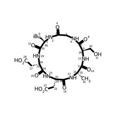 CCC(C)[C@H]1NC(=O)CNC(=O)[C@@H](CO)NC(=O)[C@H](C)NC(=O)[C@H](CC(=O)O)NC(=O)[C@H](CC(=O)O)NC1=O